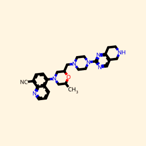 CC1CN(c2ccc(C#N)c3ncccc23)CC(CN2CCN(c3ncc4c(n3)CCNC4)CC2)O1